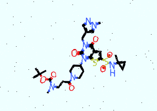 CN(CCC(=O)N1CCC(n2c(=O)n(Cc3cnn(C)c3)c(=O)c3cc(S(=O)(=O)NC4(C)CC4)sc32)CC1)C(=O)OC(C)(C)C